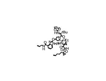 C=CCCCC1(S(=O)(=O)NC(=O)[C@@]2(NC(=O)[C@@H]3C[C@@H](Oc4nc5c(C(=O)NCC=C)cccc5n4C(C)C)CN3C(=O)[C@@H](NC(=O)OC(C)(C)C)C(C)(C)C)C[C@H]2CC)CC1